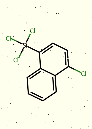 Clc1ccc([Si](Cl)(Cl)Cl)c2ccccc12